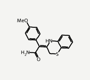 COc1ccc(C(C(N)=O)=C2CSc3ccccc3N2)cc1